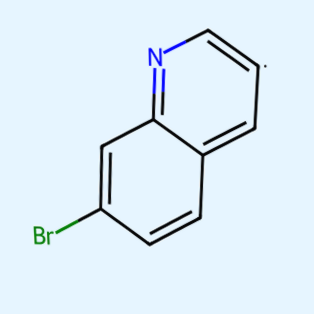 Brc1ccc2c[c]cnc2c1